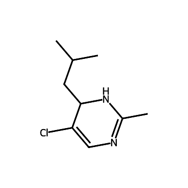 CC1=NC=C(Cl)C(CC(C)C)N1